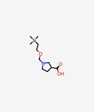 C[Si](C)(C)CCOCN1CCC(C(=O)O)C1